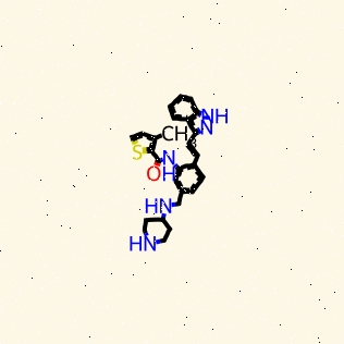 Cc1ccsc1C(=O)Nc1cc(CNC2CCNCC2)ccc1C=Cc1n[nH]c2ccccc12